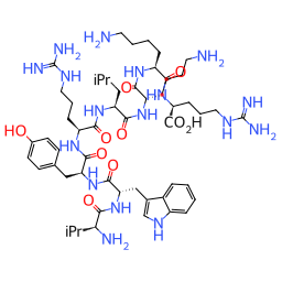 CC(C)C[C@H](NC(=O)[C@H](CCCNC(=N)N)NC(=O)[C@H](Cc1ccc(O)cc1)NC(=O)[C@H](Cc1c[nH]c2ccccc12)NC(=O)[C@@H](N)C(C)C)C(=O)N[C@@H](CCCCN)C(=O)N[C@@H](CCCCN)C(=O)N[C@@H](CCCNC(=N)N)C(=O)O